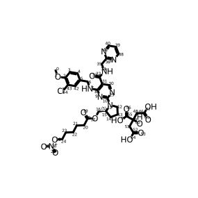 COc1ccc(CNc2nc(N3CCC[C@H]3COC(=O)CCCCCO[N+](=O)[O-])ncc2C(=O)NCc2ncccn2)cc1Cl.O=C(O)CC(O)(CC(=O)O)C(=O)O